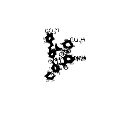 O=C(O)c1ccc(CCc2ccc(NC(=O)c3cc(N4CCCCC4)ccc3NC(=O)c3cccc(S(=O)(=O)N(C4CCC(C(=O)O)CC4)C4CC4)c3)cc2)cc1.[NaH].[NaH]